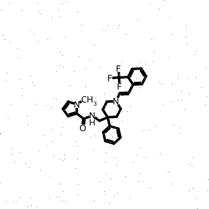 Cn1cccc1C(=O)NCC1(c2ccccc2)CCN(C=Cc2ccccc2C(F)(F)F)CC1